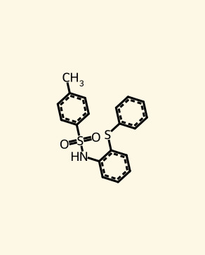 Cc1ccc(S(=O)(=O)Nc2ccccc2Sc2ccccc2)cc1